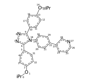 CC(C)Oc1ccc(-c2nnc(-c3ccc(OC(C)C)cc3)n2-c2ccc(-c3cccnc3)cc2)cc1